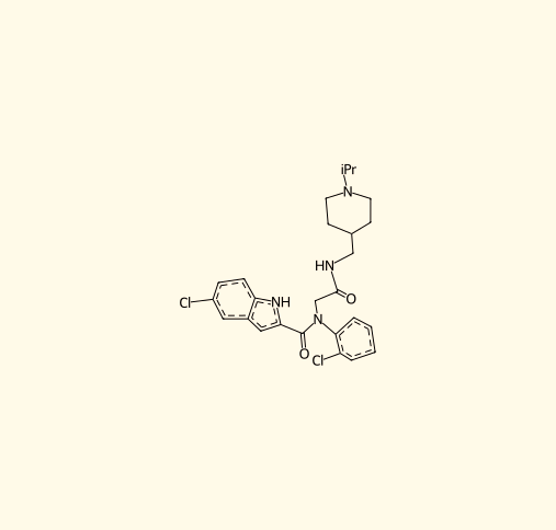 CC(C)N1CCC(CNC(=O)CN(C(=O)c2cc3cc(Cl)ccc3[nH]2)c2ccccc2Cl)CC1